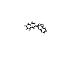 [O-][S+](Cc1ccccc1Cl)c1ccc2ccccc2c1